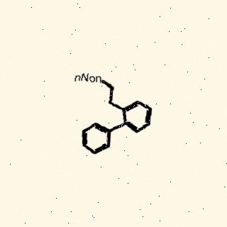 CCCCCCCCCCCc1ccccc1-c1ccccc1